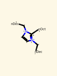 CCCCCCCCCCCn1cc[n+](CCCCCCCCCCC)c1CCCCCCCC